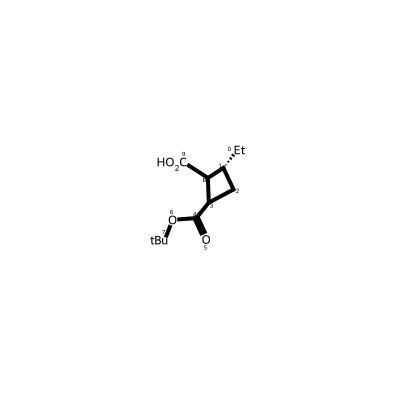 CC[C@@H]1CC(C(=O)OC(C)(C)C)C1C(=O)O